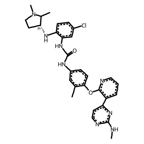 CNc1nccc(-c2cccnc2Oc2ccc(NC(=O)Nc3cc(Cl)ccc3N[C@@H]3CCN(C)C3C)cc2C)n1